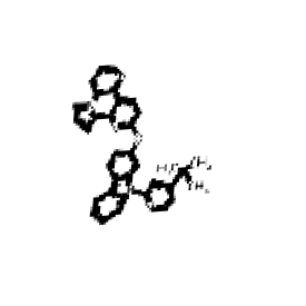 CC(C)(C)c1ccnc(-n2c3ccccc3c3ccc(Oc4ccc5c6ncccc6n6cccc6c5n4)cc32)c1